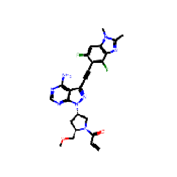 C=CC(=O)N1C[C@@H](n2nc(C#Cc3c(F)cc4c(nc(C)n4C)c3F)c3c(N)ncnc32)C[C@@H]1COC